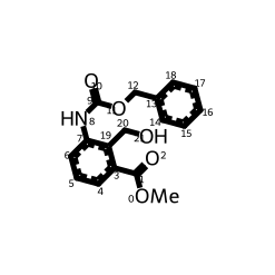 COC(=O)c1cccc(NC(=O)OCc2ccccc2)c1CO